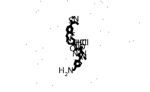 Cc1ncsc1-c1ccc(CN2CCC(O)(Cn3cnc4c(-c5ccc(CN)cc5)n(C)nc4c3=O)CC2)c(F)c1.Cl.Cl